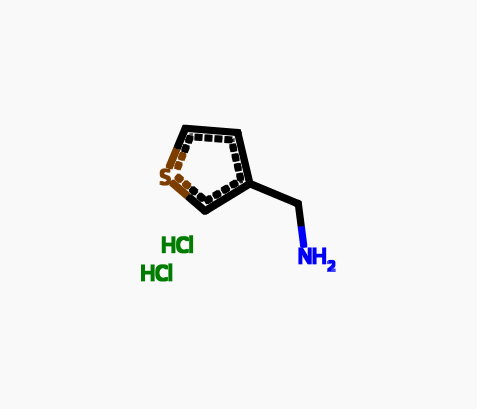 Cl.Cl.NCc1ccsc1